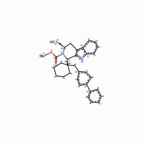 CC(C)(C)OC(=O)N1[C@@H](C(=O)O)Cc2c([nH]c3ccccc23)[C@H]1C1(Cc2ccc(-c3ccccc3)cc2)CCCCC1